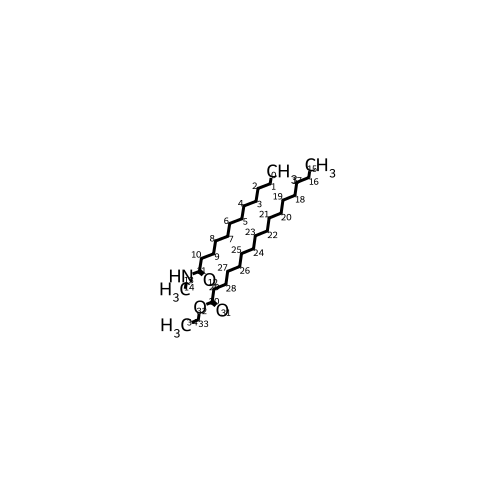 CCCCCCCCCCCC(=O)NC.CCCCCCCCCCCCCCCC(=O)OCC